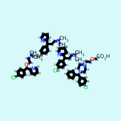 CN(C)CCC(c1ccc(Br)cc1)c1ccccn1.CN(C)CCC(c1ccc(Cl)cc1)c1ccccn1.CN(C)CCOC(c1ccc(Cl)cc1)c1ccccn1.O=C(O)COCCN1CCN(C(c2ccccc2)c2ccc(Cl)cc2)CC1